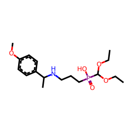 CCOC(OCC)P(=O)(O)CCCNC(C)c1ccc(OC)cc1